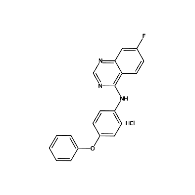 Cl.Fc1ccc2c(Nc3ccc(Oc4ccccc4)cc3)ncnc2c1